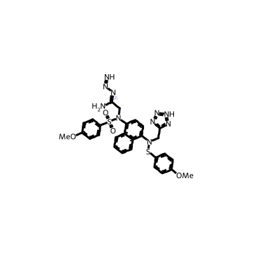 COc1ccc(SN(Cc2nn[nH]n2)c2ccc(N(C/C(N)=N/N=N)S(=O)(=O)c3ccc(OC)cc3)c3ccccc23)cc1